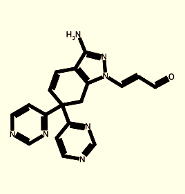 Nc1nn(C=CC=O)c2c1C=CC(c1ccncn1)(c1ccncn1)C2